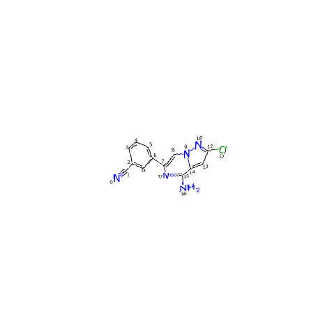 N#Cc1cccc(-c2cn3nc(Cl)cc3c(N)n2)c1